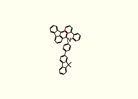 CC1(C)c2ccccc2-c2ccc(-c3ccc(N(c4ccccc4-c4ccccc4)c4ccc5c6c(cccc46)-c4ccccc4-5)cc3)cc21